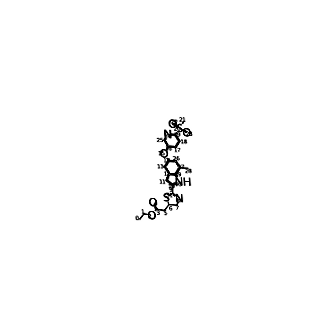 CCOC(=O)CC1CN=C(c2cc3cc(Oc4ccc(S(C)(=O)=O)nc4)cc(C)c3[nH]2)S1